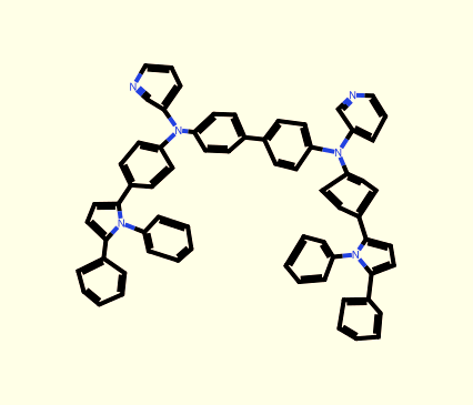 c1ccc(-c2ccc(-c3ccc(N(c4ccc(-c5ccc(N(c6ccc(-c7ccc(-c8ccccc8)n7-c7ccccc7)cc6)c6cccnc6)cc5)cc4)c4cccnc4)cc3)n2-c2ccccc2)cc1